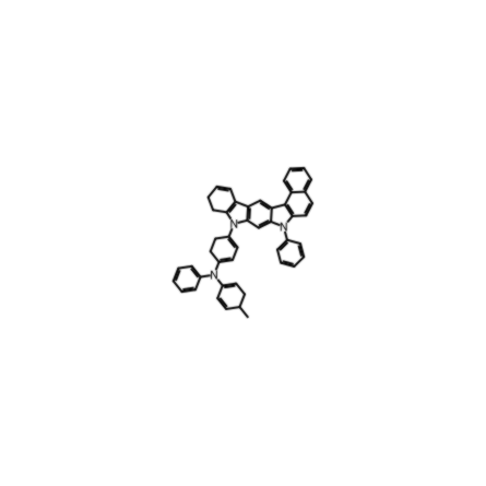 CC1C=CC(N(C2=CC=C(n3c4c(c5cc6c7c8ccccc8ccc7n(-c7ccccc7)c6cc53)C=CCC4)CC2)c2ccccc2)=CC1